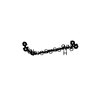 Cc1c(COc2ccc(CNCCOCCOCCOCCOCCOCCC(=O)NCCNC(=O)C3c4ccccc4-c4ccccc43)cn2)cccc1-c1ccccc1